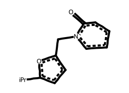 CC(C)c1ccc(Cn2ccccc2=O)o1